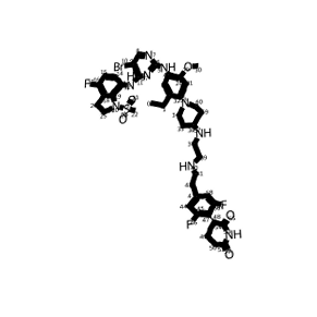 CCc1cc(Nc2ncc(Br)c(Nc3ccc(F)c4c3N(S(C)(=O)=O)CC4)n2)c(OC)cc1N1CCC(NCCNCCc2cc(F)c([C@H]3CCC(=O)NC3=O)c(F)c2)CC1